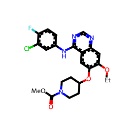 CCOc1cc2ncnc(Nc3ccc(F)c(Cl)c3)c2cc1OC1CCN(C(=O)OC)CC1